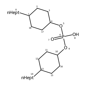 CCCCCCCC1CCC(OP(=O)(O)OC2CCC(CCCCCCC)CC2)CC1